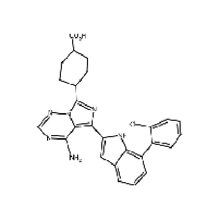 Nc1ncnn2c(C3CCC(C(=O)O)CC3)nc(-c3cc4cccc(-c5ccccc5Cl)c4[nH]3)c12